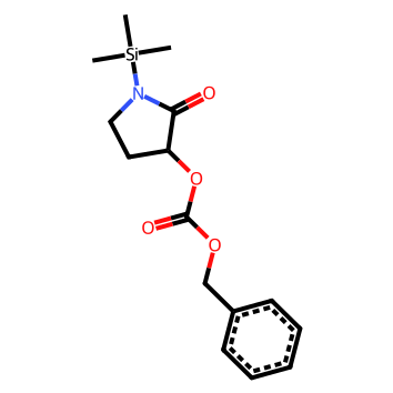 C[Si](C)(C)N1CCC(OC(=O)OCc2ccccc2)C1=O